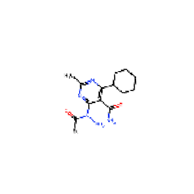 CCC(=O)N(N)c1nc(C)nc(C2CCCCC2)c1C(N)=O